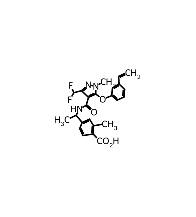 C=Cc1cccc(Oc2c(C(=O)NC(C)c3ccc(C(=O)O)c(C)c3)c(C(F)F)nn2C)c1